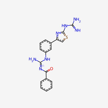 N=C(N)Nc1nc(-c2cccc(N/C(N)=N\C(=O)c3ccccc3)c2)cs1